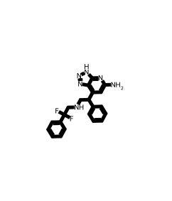 Nc1cc(C(CNCC(F)(F)c2ccccc2)c2ccccc2)c2nn[nH]c2n1